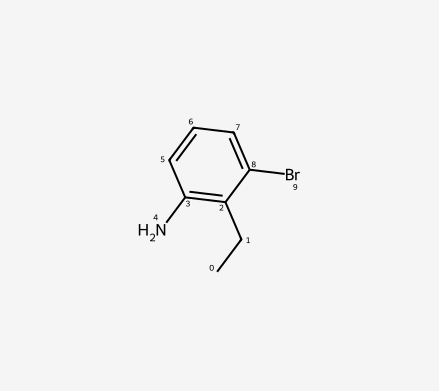 CCc1c(N)cccc1Br